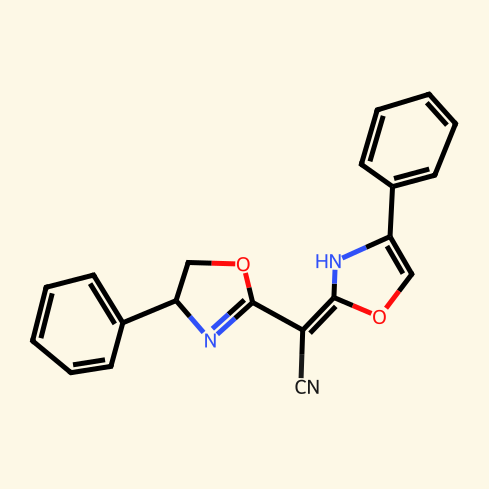 N#CC(C1=NC(c2ccccc2)CO1)=C1NC(c2ccccc2)=CO1